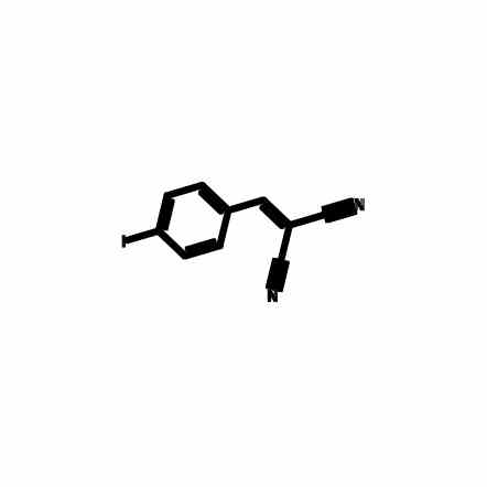 N#CC(C#N)=Cc1ccc(I)cc1